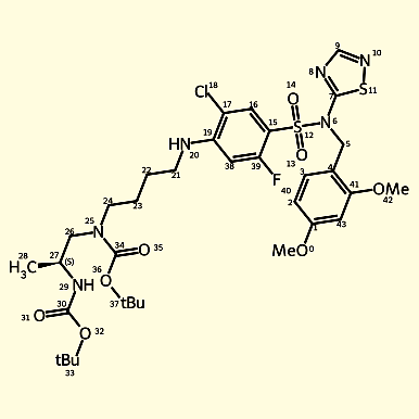 COc1ccc(CN(c2ncns2)S(=O)(=O)c2cc(Cl)c(NCCCCN(C[C@H](C)NC(=O)OC(C)(C)C)C(=O)OC(C)(C)C)cc2F)c(OC)c1